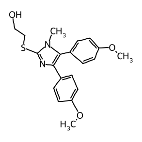 COc1ccc(-c2nc(SCCO)n(C)c2-c2ccc(OC)cc2)cc1